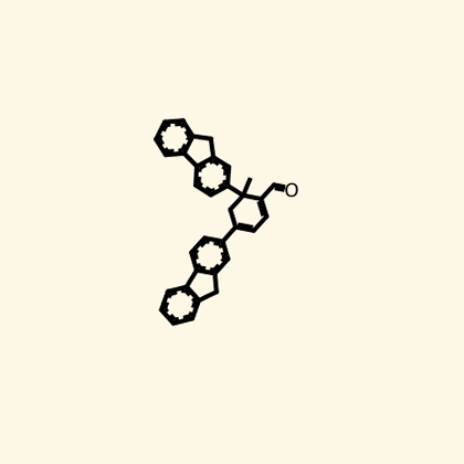 CC1(c2ccc3c(c2)Cc2ccccc2-3)CC(c2ccc3c(c2)Cc2ccccc2-3)=CC=C1C=O